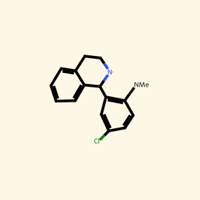 CNc1ccc(Cl)cc1C1[N]CCc2ccccc21